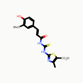 CCOC(=O)c1sc(NC(=S)NC(=O)C=Cc2ccc(O)c(OC)c2)nc1C